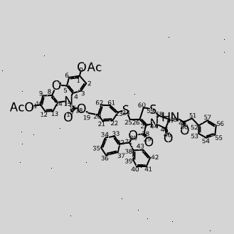 CC(=O)Oc1ccc2c(c1)Oc1cc(OC(C)=O)ccc1N2C(=O)OCc1ccc(SCC2=C(C(=O)OC(c3ccccc3)c3ccccc3)N3C(=O)C(NC(=O)Cc4ccccc4)C3SC2)cc1